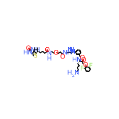 NCCCC[C@H](NC(=O)c1cccc(-n2cc(CNC(=O)CCOCCNC(=O)CCCC[C@@H]3SCC4NC(=O)N[C@@H]43)nn2)c1)C(=O)COc1c(F)cccc1F